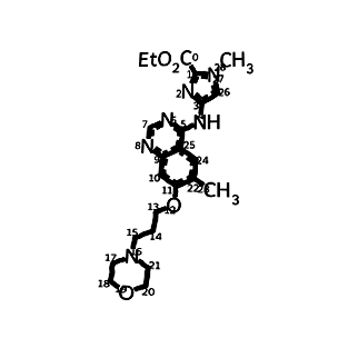 CCOC(=O)c1nc(Nc2ncnc3cc(OCCCN4CCOCC4)c(C)cc23)cn1C